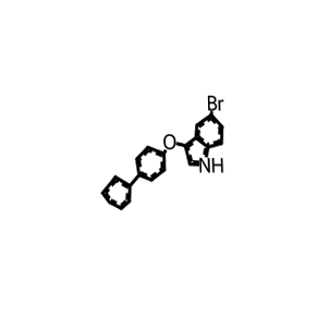 Brc1ccc2[nH]cc(Oc3ccc(-c4ccccc4)cc3)c2c1